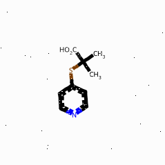 CC(C)(Sc1ccncc1)C(=O)O